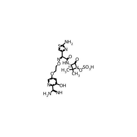 CC1(C)[C@H](NC(=O)C(=NOCCOc2cnc(C(=N)N)c(O)c2)c2csc(N)n2)C(=O)N1OS(=O)(=O)O